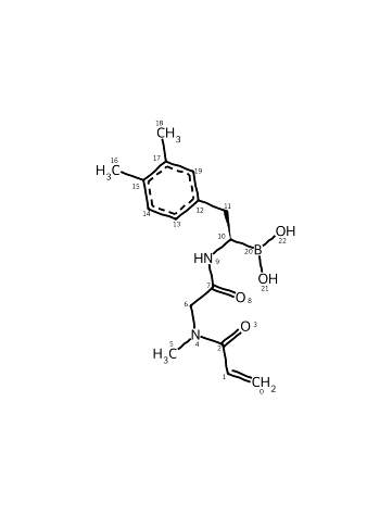 C=CC(=O)N(C)CC(=O)N[C@@H](Cc1ccc(C)c(C)c1)B(O)O